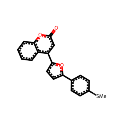 CSc1ccc(-c2ccc(-c3cc(=O)oc4ccccc34)o2)cc1